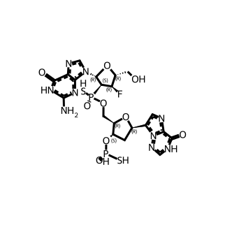 Nc1nc2c(ncn2[C@@H]2O[C@H](CO)[C@@H](F)[C@H]2P(=O)(S)OC[C@H]2O[C@@H](c3cnc4c(=O)[nH]cnn34)C[C@@H]2O[PH](=O)S)c(=O)[nH]1